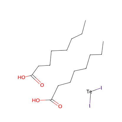 CCCCCCCC(=O)O.CCCCCCCC(=O)O.I[Te]I